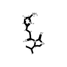 CC(C)C1COC(=O)N1C(=O)CCc1csc(N)n1